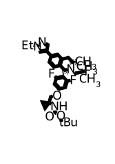 CCn1cc(-c2ccc3c(c2)C[C@@H](C)N(CC(C)(C)F)[C@@H]3c2c(F)cc(OCC3(NC(=O)OC(C)(C)C)CC3)cc2F)cn1